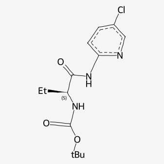 CC[C@H](NC(=O)OC(C)(C)C)C(=O)Nc1ccc(Cl)cn1